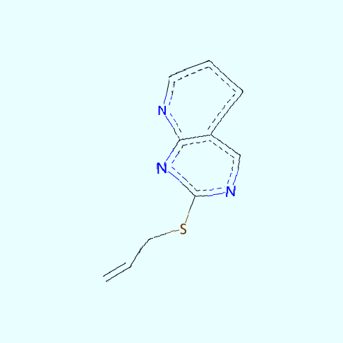 C=CCSc1ncc2cccnc2n1